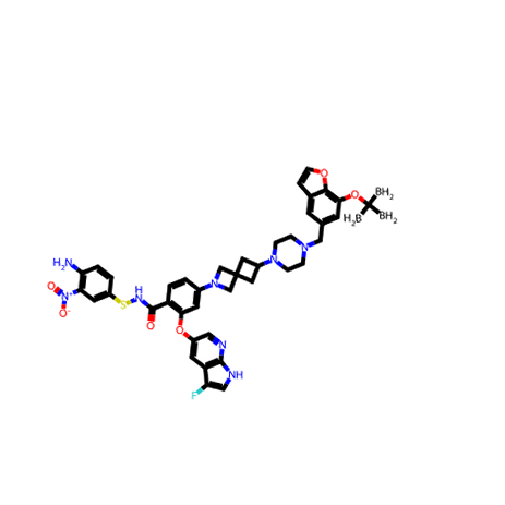 BC(B)(B)Oc1cc(CN2CCN(C3CC4(C3)CN(c3ccc(C(=O)NSc5ccc(N)c([N+](=O)[O-])c5)c(Oc5cnc6[nH]cc(F)c6c5)c3)C4)CC2)cc2ccoc12